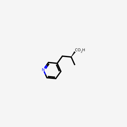 C[C@@H](Cc1cccnc1)C(=O)O